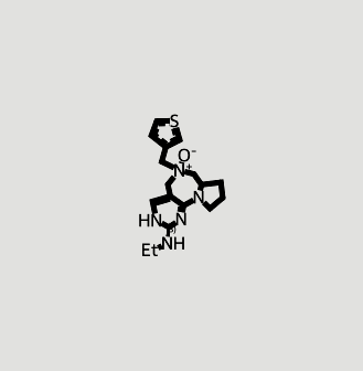 CCN[C@@H]1N=C2C(=CN1)C[N+]([O-])(Cc1ccsc1)CC1CCCN21